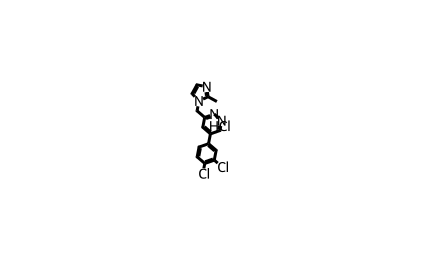 Cc1nccn1Cc1cc(-c2ccc(Cl)c(Cl)c2)cnn1.Cl